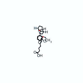 CCC(CCCCCCC(=O)O)[C@@H]1CN2[C@H]3CC[C@@H]2[C@H]1[C@@H](c1ccc(Cl)c(Cl)c1)C3